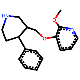 COc1ncccc1OCC1CNCCC1c1ccccc1